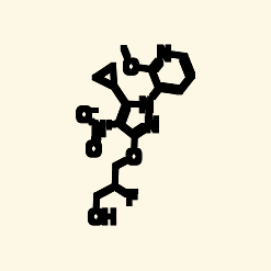 COc1ncccc1-n1nc(OCC(F)CO)c([N+](=O)[O-])c1C1CC1